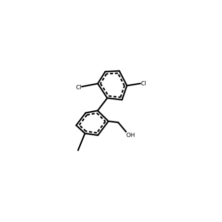 Cc1ccc(-c2cc(Cl)ccc2Cl)c(CO)c1